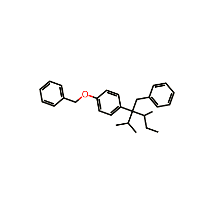 CCC(C)C(Cc1ccccc1)(c1ccc(OCc2ccccc2)cc1)C(C)C